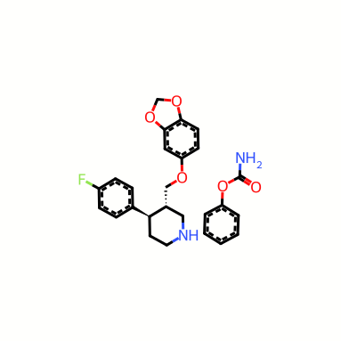 Fc1ccc([C@@H]2CCNC[C@H]2COc2ccc3c(c2)OCO3)cc1.NC(=O)Oc1ccccc1